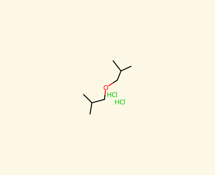 CC(C)COCC(C)C.Cl.Cl